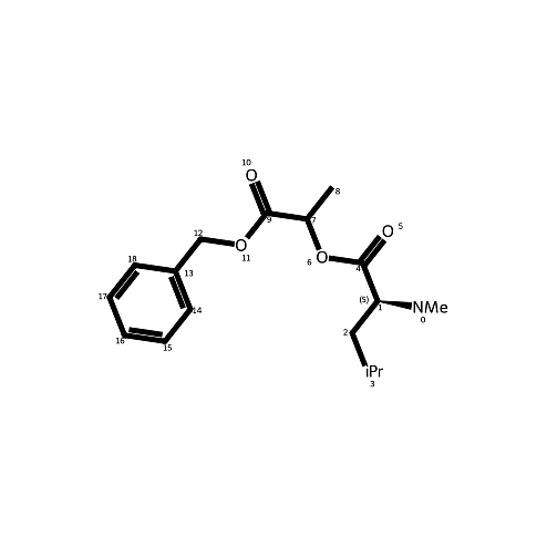 CN[C@@H](CC(C)C)C(=O)OC(C)C(=O)OCc1ccccc1